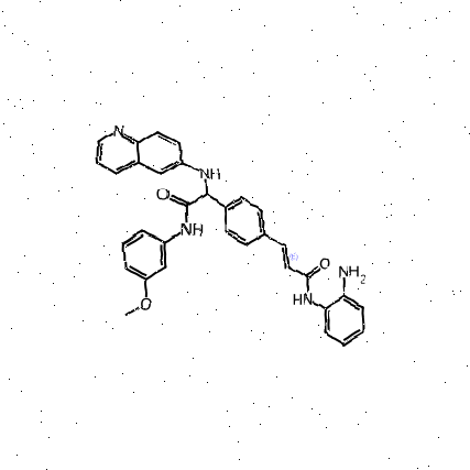 COc1cccc(NC(=O)C(Nc2ccc3ncccc3c2)c2ccc(/C=C/C(=O)Nc3ccccc3N)cc2)c1